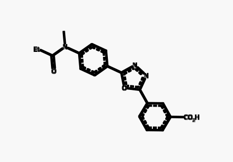 CCC(=O)N(C)c1ccc(-c2nnc(-c3cccc(C(=O)O)c3)o2)cc1